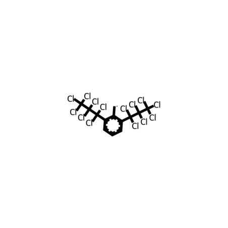 [CH2]c1c(C(Cl)(Cl)C(Cl)(Cl)C(Cl)(Cl)Cl)cccc1C(Cl)(Cl)C(Cl)(Cl)C(Cl)(Cl)Cl